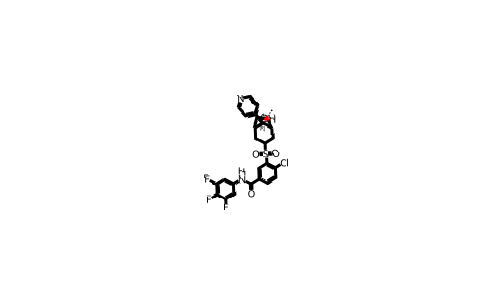 C[C@H]1CC2CC(S(=O)(=O)c3cc(C(=O)Nc4cc(F)c(F)c(F)c4)ccc3Cl)CC1[C@@]2(O)c1ccncc1